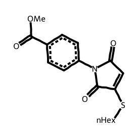 CCCCCCSC1=CC(=O)N(c2ccc(C(=O)OC)cc2)C1=O